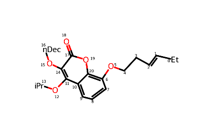 CCC=CCCOc1cccc2c(OC(C)C)c(OCCCCCCCCCC)c(=O)oc12